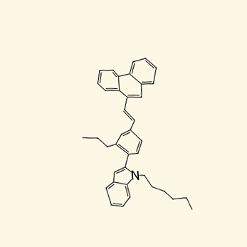 CCCCCCn1c(-c2ccc(C=Cc3cc4ccccc4c4ccccc34)cc2CCC)cc2ccccc21